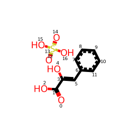 O=C(O)C(O)=Cc1ccccc1.O=S(=O)(O)O